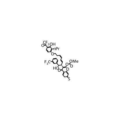 CCCc1c(OCC/C=C\C=C\[C@@H](c2c(OC(=O)OC)oc3c(c2=O)=CCC(=S)C=3)[C@@H](O)c2cccc(C(F)(F)F)c2)ccc(C(=O)C(F)(F)F)c1O